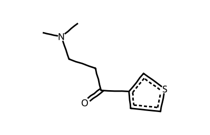 CN(C)CCC(=O)c1ccsc1